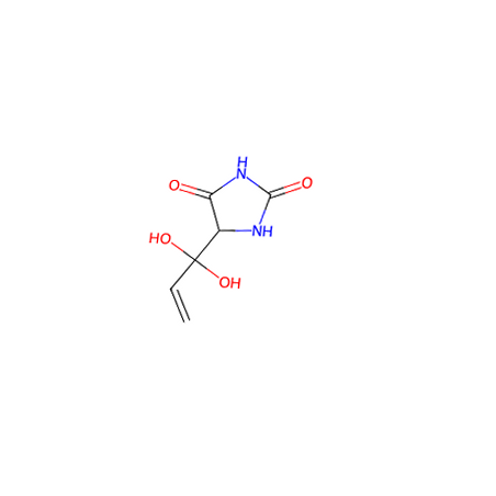 C=CC(O)(O)C1NC(=O)NC1=O